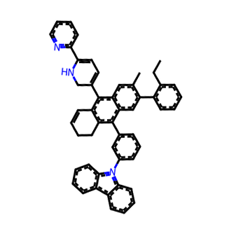 CCc1ccccc1-c1cc2c(-c3cccc(-n4c5ccccc5c5ccccc54)c3)c3c(c(C4=CC=C(c5ccccn5)NC4)c2cc1C)C=CCC3